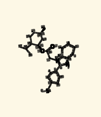 CSc1ccc(-c2nc3ccccc3n2CC(=O)O[C@@H]2C[C@H](C)CCC2C(C)C)cc1